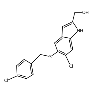 OCc1cc2cc(SCc3ccc(Cl)cc3)c(Cl)cc2[nH]1